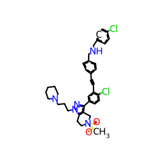 CS(=O)(=O)N1CCc2c(c(-c3ccc(Cl)c(C#Cc4ccc(CNCc5ccc(Cl)cc5)cc4)c3)nn2CCCN2CCCCC2)C1